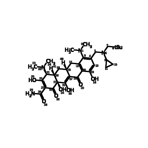 CN(C)c1c(CN(CC(C)(C)C)C2CC2)cc(O)c2c1C[C@H]1C[C@H]3[C@H](N(C)C)C(O)=C(C(N)=O)C(=O)[C@@]3(O)C(O)=C1C2=O